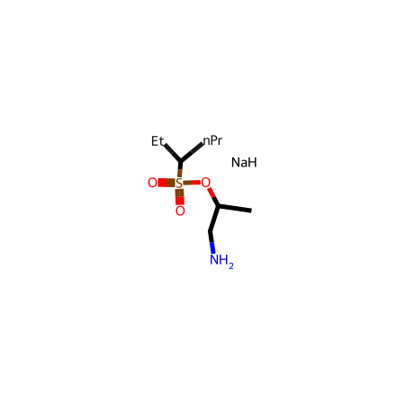 CCCC(CC)S(=O)(=O)OC(C)CN.[NaH]